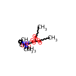 CCCCCCCC(=O)OCC(COC(=O)CCCCCCC)OC(=O)CCC(=O)OC(C(=O)Nc1c(C)cccc1C)N(CC)CC